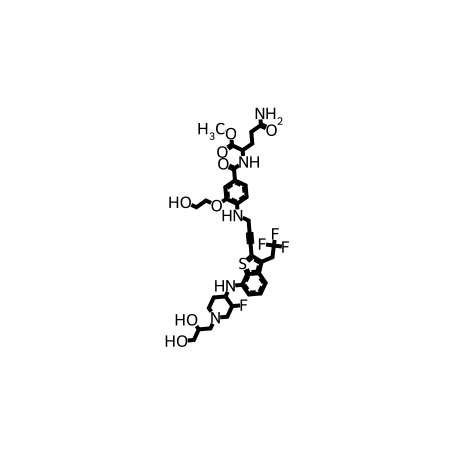 COC(=O)C(CCC(N)=O)NC(=O)c1ccc(NCC#Cc2sc3c(NC4CCN(CC(O)CO)CC4F)cccc3c2CC(F)(F)F)c(OCCO)c1